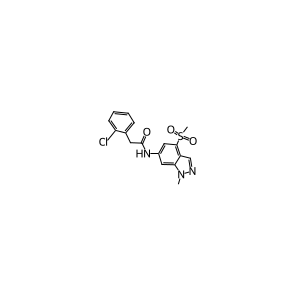 Cn1ncc2c(S(C)(=O)=O)cc(NC(=O)Cc3ccccc3Cl)cc21